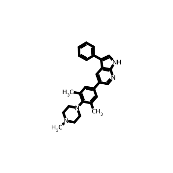 Cc1cc(-c2cnc3[nH]cc(-c4c[c]ccc4)c3c2)cc(C)c1N1CCN(C)CC1